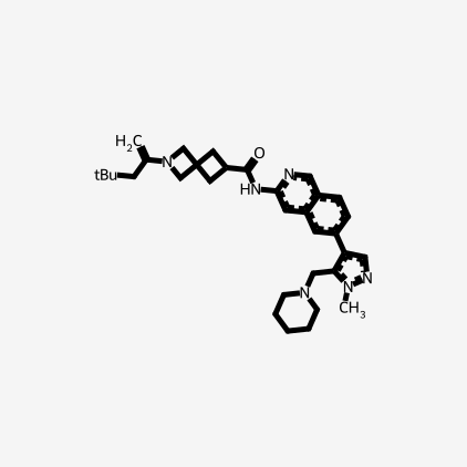 C=C(CC(C)(C)C)N1CC2(CC(C(=O)Nc3cc4cc(-c5cnn(C)c5CN5CCCCC5)ccc4cn3)C2)C1